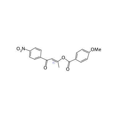 COc1ccc(C(=O)O/C(C)=C/C(=O)c2ccc([N+](=O)[O-])cc2)cc1